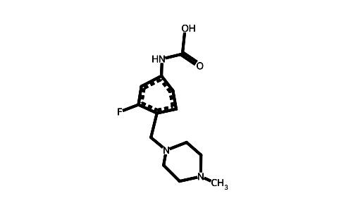 CN1CCN(Cc2ccc(NC(=O)O)cc2F)CC1